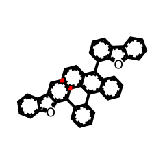 c1ccc(-c2cccc3c2oc2ccccc23)c(-c2c3ccccc3c(-c3cccc4c3oc3ccccc34)c3ccccc23)c1